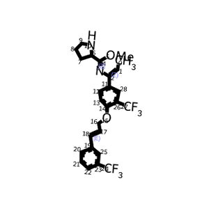 C/C=C(\N=C(/OC)C1CCCN1)c1ccc(OC/C=C/c2cccc(C(F)(F)F)c2)c(C(F)(F)F)c1